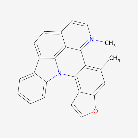 Cc1cc2occc2c2c1c1c3c(ccc4c5ccccc5n2c43)cc[n+]1C